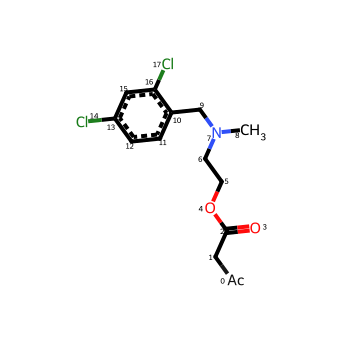 CC(=O)CC(=O)OCCN(C)Cc1ccc(Cl)cc1Cl